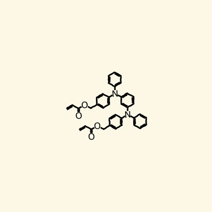 C=CC(=O)OCc1ccc(N(c2ccccc2)c2cccc(N(c3ccccc3)c3ccc(COC(=O)C=C)cc3)c2)cc1